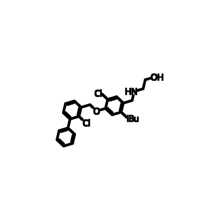 CCC(C)c1cc(OCc2cccc(-c3ccccc3)c2Cl)c(Cl)cc1CNCCO